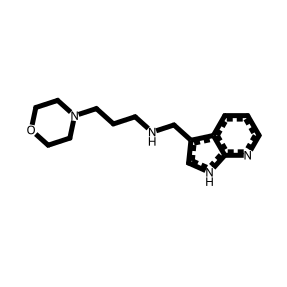 c1cnc2[nH]cc(CNCCCN3CCOCC3)c2c1